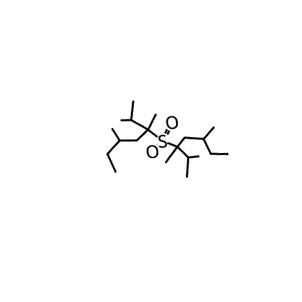 CCC(C)CC(C)(C(C)C)S(=O)(=O)C(C)(CC(C)CC)C(C)C